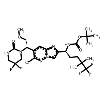 COC[C@H](c1cc2nc([C@H](CCC(C)(C)C(F)(F)F)NC(=O)OC(C)(C)C)cn2nc1Cl)N1CC(F)(F)CNC1=O